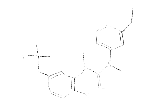 CCc1cccc(N(C)C(=N)N(C)c2cc(SC(F)(F)F)ccc2Cl)c1